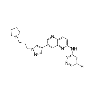 CCc1cnnc(Nc2ccc3ncc(-c4cnn(CCCN5CCCC5)c4)cc3n2)c1